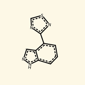 [c]1n[nH]c2cccc(-c3ncsn3)c12